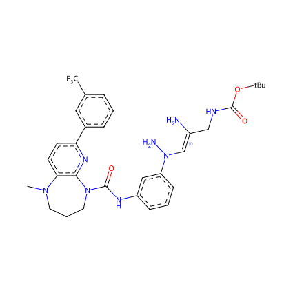 CN1CCCN(C(=O)Nc2cccc(N(N)/C=C(\N)CNC(=O)OC(C)(C)C)c2)c2nc(-c3cccc(C(F)(F)F)c3)ccc21